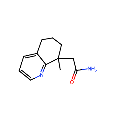 CC1(CC(N)=O)CCCc2cccnc21